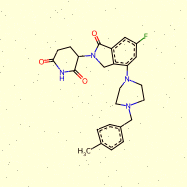 Cc1ccc(CN2CCN(c3cc(F)cc4c3CN(C3CCC(=O)NC3=O)C4=O)CC2)cc1